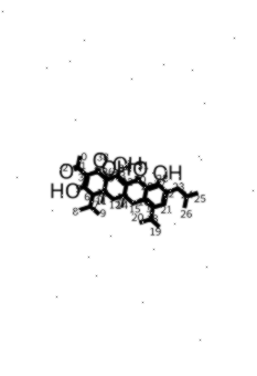 CC(=O)C1=C(O)C(C(C)C)[C@@]2(C)C[C@@]3(C)Cc4c(C(C)C)cc(CC(C)C)c(O)c4C(=O)C3=C(O)[C@@]2(O)C1=O